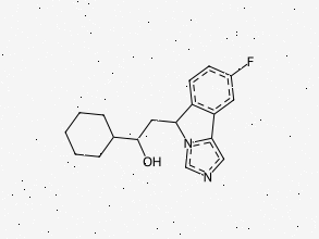 OC(CC1c2ccc(F)cc2-c2cncn21)C1CCCCC1